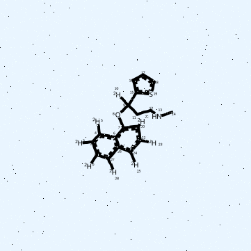 [2H]c1c([2H])c([2H])c2c(OC([2H])(CCNC)c3cccs3)c([2H])c([2H])c([2H])c2c1[2H]